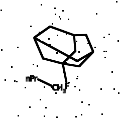 CCCC.FC12CC3CC(CC(C3)C1)C2